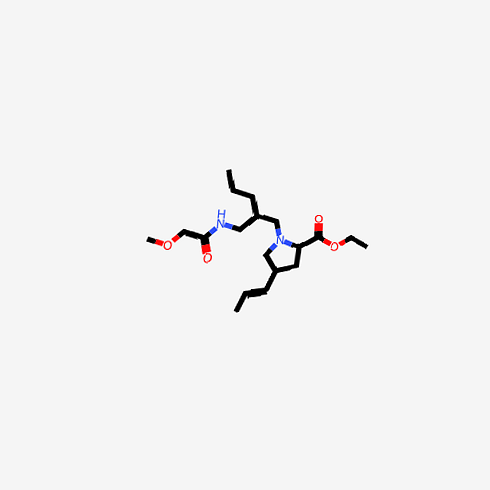 CC=CC1CC(C(=O)OCC)N(CC(CCC)CNC(=O)COC)C1